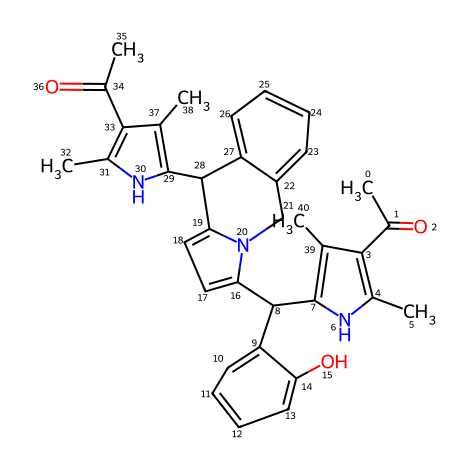 CC(=O)c1c(C)[nH]c(C(c2ccccc2O)c2ccc3n2Cc2ccccc2C3c2[nH]c(C)c(C(C)=O)c2C)c1C